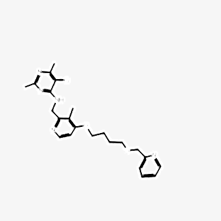 Cc1nc(C)c(Cl)c(NCc2nccc(OCCCCSCc3ccccn3)c2C)n1